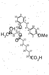 COc1ccc(CCc2ccccc2OC[C@@H](CN(C)C)OC(=O)CCCCCCC(=O)O)cc1